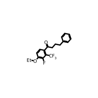 CCOc1ccc(C(=O)CCCc2ccccc2)c(C(F)(F)F)c1F